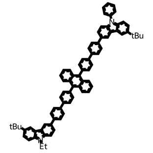 CCn1c2ccc(-c3ccc(-c4ccc(-c5c6ccccc6c(-c6ccc(-c7ccc(-c8ccc9c(c8)c8cc(C(C)(C)C)ccc8n9-c8ccccc8)cc7)cc6)c6ccccc56)cc4)cc3)cc2c2cc(C(C)(C)C)ccc21